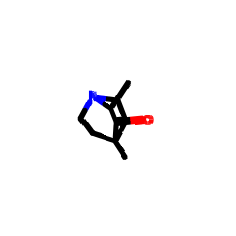 CC1C(=O)C2(C)CCN1CC2